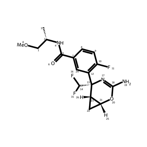 COC[C@H](C)NC(=O)c1ccc(F)c([C@@]2(C(F)F)N=C(N)O[C@@H]3C[C@@H]32)c1